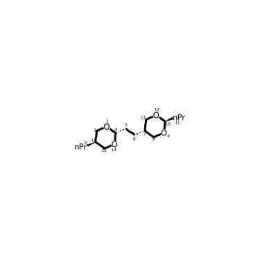 CCC[C@H]1CO[C@H](CC[C@H]2CO[C@H](CCC)OC2)OC1